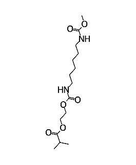 COC(=O)NCCCCCCNC(=O)OCCOC(=O)C(C)C